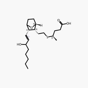 CCCCCC(O)/C=C/[C@@H]1C2CC[C@@H](O2)[C@@H]1CCS[C@H](C)CCC(=O)O